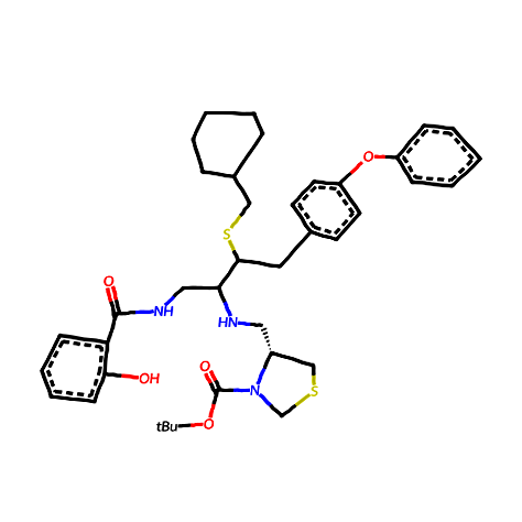 CC(C)(C)OC(=O)N1CSC[C@H]1CNC(CNC(=O)c1ccccc1O)C(Cc1ccc(Oc2ccccc2)cc1)SCC1CCCCC1